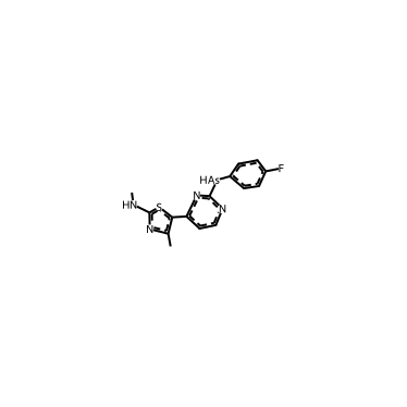 CNc1nc(C)c(-c2ccnc([AsH]c3ccc(F)cc3)n2)s1